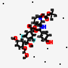 COCOc1ccc(OC)cc1C(=O)c1c(F)cc(C(=O)O[C@@H]2CCCN(OC(=O)OC(C)(C)C)C[C@H]2NC(=O)c2ccc(O)cc2)cc1F